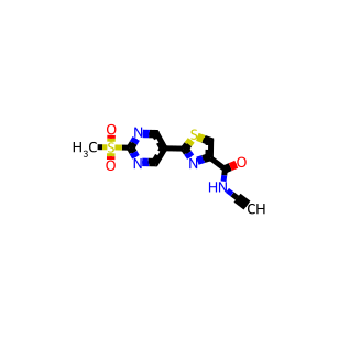 C#CNC(=O)c1csc(-c2cnc(S(C)(=O)=O)nc2)n1